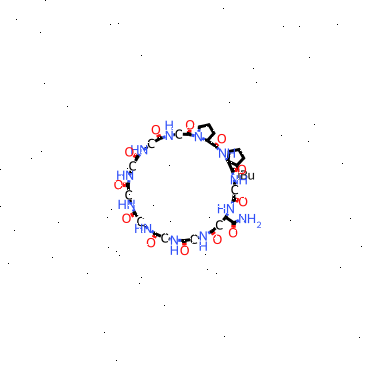 CCC(C)C1CCCC12NC(=O)C1CCCN1C(=O)CNC(=O)CNC(=O)CNC(=O)CNC(=O)CNC(=O)CNC(=O)CNC(=O)CC(C(N)=O)NC(=O)CNC2=O